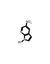 CC(C)n1ccc2cc([N+](=O)[O-])cnc21